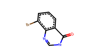 O=C1[N]C=Nc2c(Br)cccc21